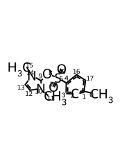 Cc1ccc(S(=O)(=O)OC2N(C)C=CN2C)cc1